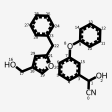 N#CC(O)c1cccc(Oc2ccccc2)c1.OCc1coc(Cc2ccccc2)c1